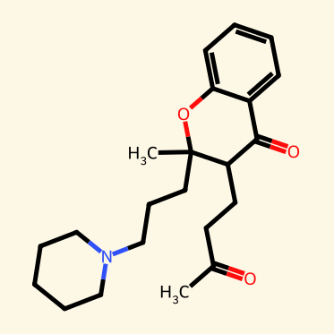 CC(=O)CCC1C(=O)c2ccccc2OC1(C)CCCN1CCCCC1